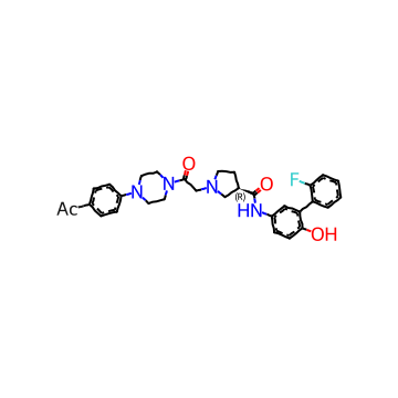 CC(=O)c1ccc(N2CCN(C(=O)CN3CC[C@@H](C(=O)Nc4ccc(O)c(-c5ccccc5F)c4)C3)CC2)cc1